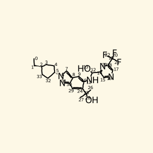 CC[C@H]1CC[C@H](n2cc3cc(NC(O)c4cncc(C(F)(F)F)n4)c(C(C)(C)O)cc3n2)CC1